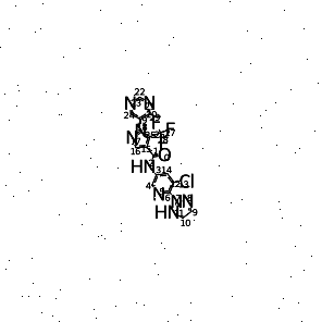 O=C(Nc1cnc(N2N=CCN2)c(Cl)c1)c1cnn(-c2cncnc2)c1C(F)(F)F